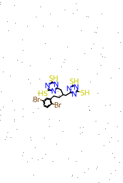 Sc1nc(S)nc(CC(CCc2cc(Br)ccc2Br)Cc2nc(S)nc(S)n2)n1